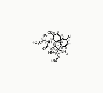 CC(C)[C@H](NC(=O)[C@H]1N[C@H](CC(C)(C)C)[C@@](N)(c2ccc(Cl)cc2)[C@@H]1c1cccc(Cl)c1)C(=O)O